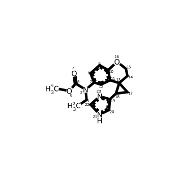 CCN(C(=O)OC)c1ccc2c(c1)C1(CCO2)CC1c1c[nH]cn1